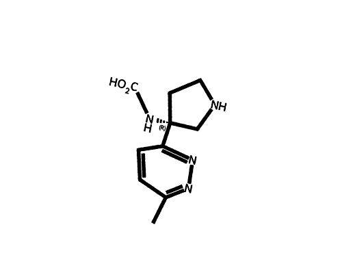 Cc1ccc([C@@]2(NC(=O)O)CCNC2)nn1